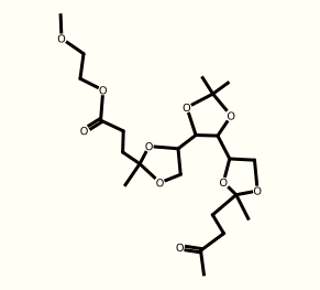 COCCOC(=O)CCC1(C)OCC(C2OC(C)(C)OC2C2COC(C)(CCC(C)=O)O2)O1